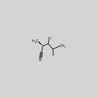 CC(F)C(Cl)[C@H](C)C#N